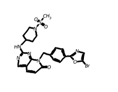 CS(=O)(=O)N1CCC(Nc2ncc3ccc(=O)n(Cc4ccc(-c5ncc(Br)o5)cc4)c3n2)CC1